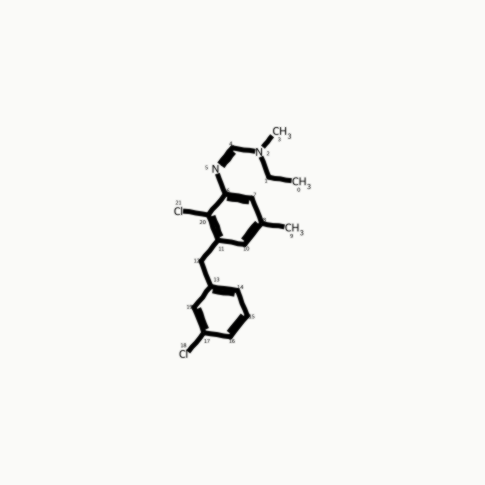 CCN(C)/C=N\c1cc(C)cc(Cc2cccc(Cl)c2)c1Cl